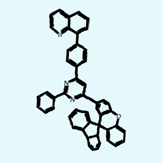 C1=CC2c3ccccc3C3(c4ccccc4Oc4ccc(-c5cc(-c6ccc(-c7cccc8cccnc78)cc6)nc(-c6ccccc6)n5)cc43)C2C=C1